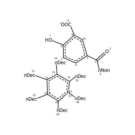 CCCCCCCCCC(=O)c1ccc(O)c(C(=O)[O-])c1.CCCCCCCCCCc1c(CCCCCCCCCC)c(CCCCCCCCCC)[n+](CCCCCCCCCC)c(CCCCCCCCCC)c1CCCCCCCCCC